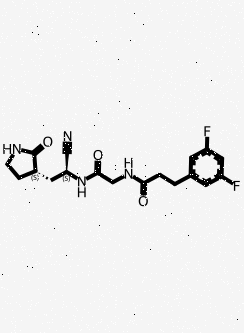 N#C[C@H](C[C@@H]1CCNC1=O)NC(=O)CNC(=O)CCc1cc(F)cc(F)c1